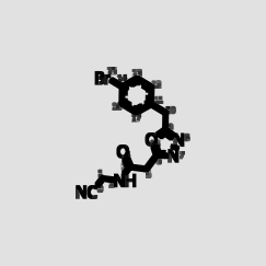 N#CCNC(=O)Cc1nnc(Cc2ccc(Br)cc2)o1